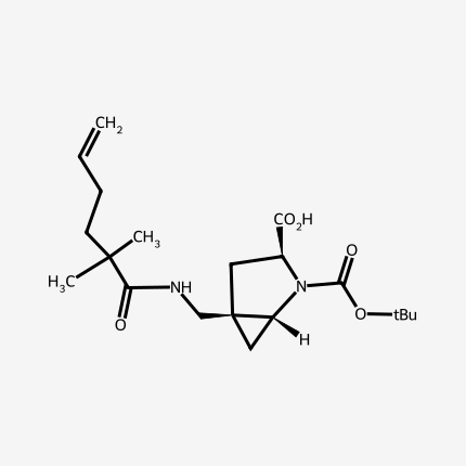 C=CCCC(C)(C)C(=O)NC[C@@]12C[C@@H](C(=O)O)N(C(=O)OC(C)(C)C)[C@@H]1C2